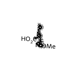 COc1ccc2nccc([C@@H](F)CCC3CCN(CCCc4cccc(C)c4)CC3CCC(=O)O)c2c1